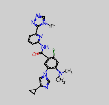 CC(C)n1cnnc1-c1cccc(NC(=O)c2cc(-n3cnc(C4CC4)c3)c(N(C)C)cc2F)n1